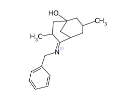 CC1CC2CC(O)(C1)CC(C)/C2=N\Cc1ccccc1